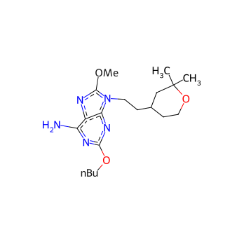 CCCCOc1nc(N)c2nc(OC)n(CCC3CCOC(C)(C)C3)c2n1